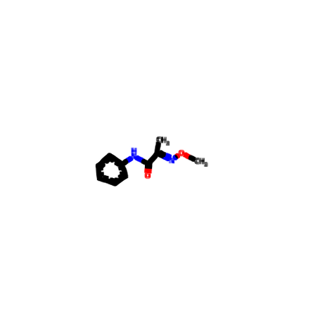 CO/N=C(\C)C(=O)Nc1ccccc1